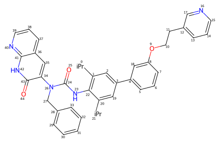 CC(C)c1cc(-c2cccc(OCCc3cccnc3)c2)cc(C(C)C)c1NC(=O)N(Cc1ccccc1)c1cc2cccnc2[nH]c1=O